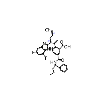 C=C(/C(=C\C=C/Cl)c1nc2cc(F)cc(F)c2[nH]1)c1ccc(C(=O)N[C@H](CCC)c2ccccc2)cc1C(=O)O